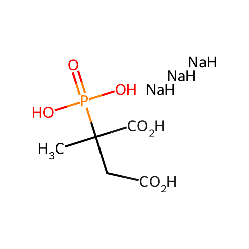 CC(CC(=O)O)(C(=O)O)P(=O)(O)O.[NaH].[NaH].[NaH]